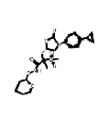 CC(C[C@H]1CN(c2ccc(C3CC3)cc2)C(=O)O1)(C(=O)NOC1CCCCO1)S(C)(=O)=O